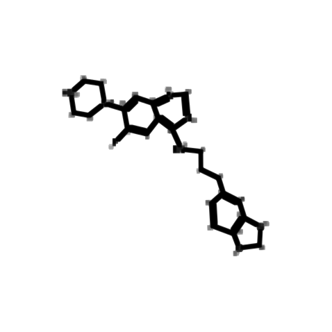 Fc1cc2c(NCCCc3ccc4c(c3)OCO4)ncnc2cc1N1CCNCC1